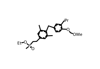 CCOP(C)(=O)CCc1cc(C)c(Cc2ccc(OCOC)c(C(C)C)c2)c(C)c1